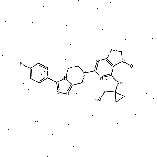 [O-][S+]1CCc2nc(N3CCn4c(nnc4-c4ccc(F)cc4)C3)nc(NC3(CO)CC3)c21